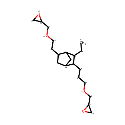 CCC1C(CCCOCC2CO2)C2CC(CCOCC3CO3)C1C2